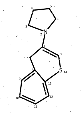 C1=C(N2CCCC2)Cc2ccccc2S1